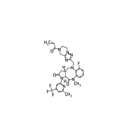 C=CC(=O)N1CCn2nc(CN3C[C@H]4CC(=O)N(c5cc(C(F)(F)F)cc(C)n5)[C@@H]4C(=O)N(C)c4cccc(F)c43)nc2C1